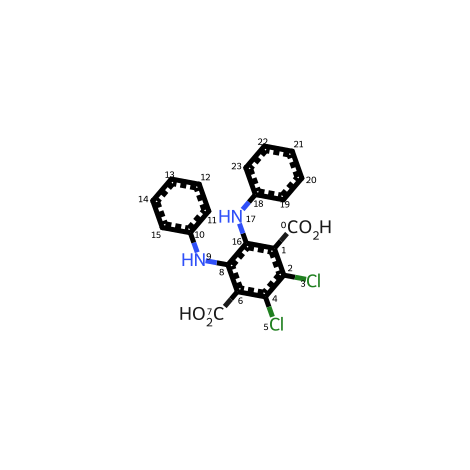 O=C(O)c1c(Cl)c(Cl)c(C(=O)O)c(Nc2ccccc2)c1Nc1ccccc1